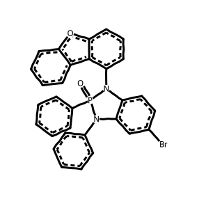 O=P1(c2ccccc2)N(c2ccccc2)c2cc(Br)ccc2N1c1cccc2oc3ccccc3c12